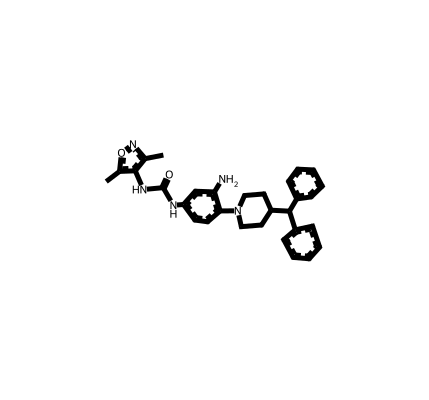 Cc1noc(C)c1NC(=O)Nc1ccc(N2CCC(C(c3ccccc3)c3ccccc3)CC2)c(N)c1